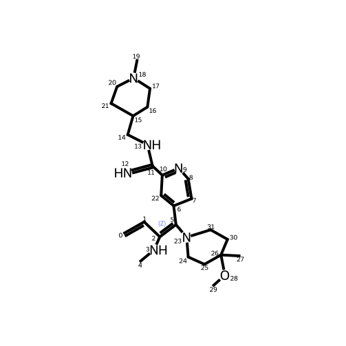 C=C/C(NC)=C(\c1ccnc(C(=N)NCC2CCN(C)CC2)c1)N1CCC(C)(OC)CC1